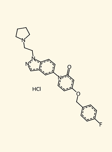 Cl.O=c1cc(OCc2ccc(F)cc2)ccn1-c1ccc2c(cnn2CCN2CCCC2)c1